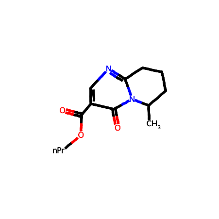 CCCOC(=O)c1cnc2n(c1=O)C(C)CCC2